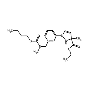 CCCCOC(=O)N(C)Cc1cccc(N2C=CC(C)(C(=O)OCC)N2)c1